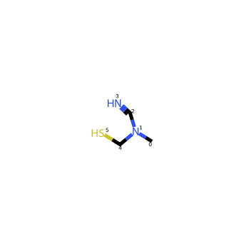 CN(C=N)CS